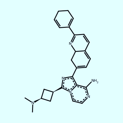 CN(C)[C@H]1C[C@@H](c2nc(C3=CC=C4C=CC(C5=CCCC=C5)=NC4C3)c3c(N)nccn32)C1